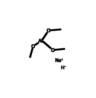 C[O][Al]([O]C)[O]C.[H-].[Na+]